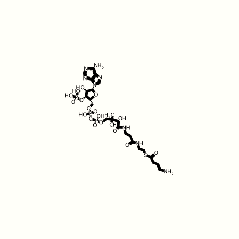 CC(C)(COP(=O)(O)OP(=O)(O)OC[C@H]1O[C@@H](n2cnc3c(N)ncnc32)[C@H](O)[C@@H]1OP(=O)(O)O)C(O)C(=O)NCCC(=O)NCCSC(=O)CCCN